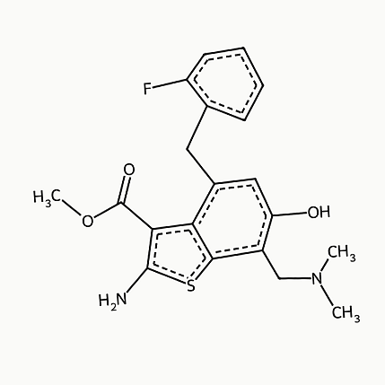 COC(=O)c1c(N)sc2c(CN(C)C)c(O)cc(Cc3ccccc3F)c12